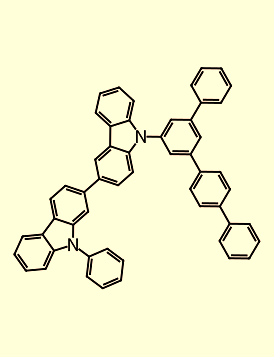 c1ccc(-c2ccc(-c3cc(-c4ccccc4)cc(-n4c5ccccc5c5cc(-c6ccc7c8ccccc8n(-c8ccccc8)c7c6)ccc54)c3)cc2)cc1